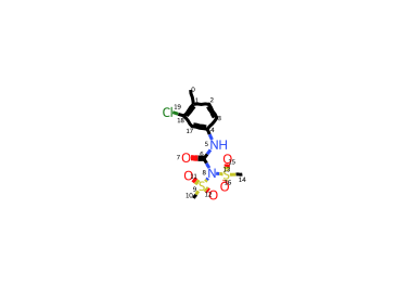 Cc1ccc(NC(=O)N(S(C)(=O)=O)S(C)(=O)=O)cc1Cl